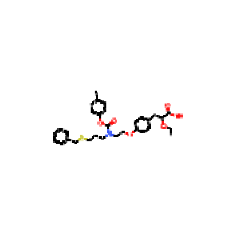 CCOC(Cc1ccc(OCCN(CCCSCc2ccccc2)C(=O)Oc2ccc(C)cc2)cc1)C(=O)O